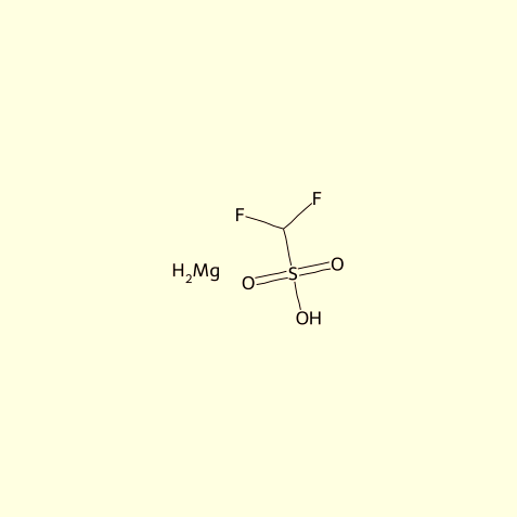 O=S(=O)(O)C(F)F.[MgH2]